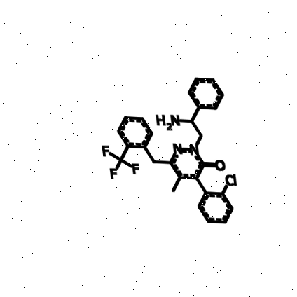 Cc1c(Cc2ccccc2C(F)(F)F)nn(CC(N)c2ccccc2)c(=O)c1-c1ccccc1Cl